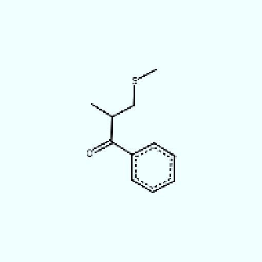 CSCC(C)C(=O)c1ccccc1